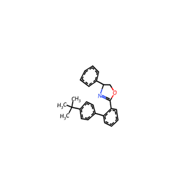 CC(C)(C)c1ccc(-c2ccccc2C2=NC(c3ccccc3)CO2)cc1